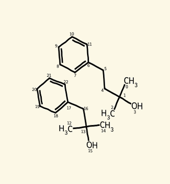 CC(C)(O)CCc1ccccc1.CC(C)(O)Cc1ccccc1